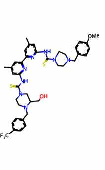 COc1ccc(CN2CCN(C(=S)Nc3cc(C)cc(-c4cc(C)cc(NC(=S)N5CCN(Cc6ccc(C(F)(F)F)cc6)C(CO)C5)n4)n3)CC2)cc1